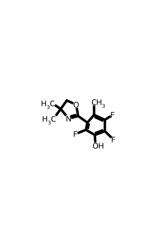 Cc1c(F)c(F)c(O)c(F)c1C1=NC(C)(C)CO1